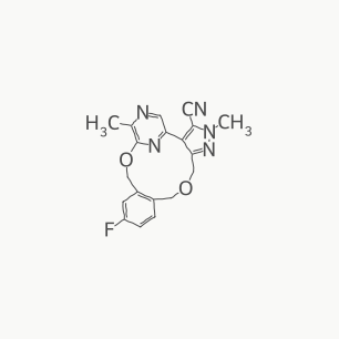 Cc1ncc2nc1OCc1cc(F)ccc1COCc1nn(C)c(C#N)c1-2